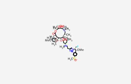 CC[C@H]1OC(=O)[C@H](C)[C@@H](C2C[C@@](C)(OC)C[C@H](C)O2)[C@H](C)[C@@H](O[C@H]2C[C@@H](N(C)CCc3cn([C@H](CF)[C@H](OC)c4ccc([S+](C)[O-])cc4)nn3)C[C@@H](C)O2)[C@](C)(O)C[C@@H](C)CN(C)[C@H](C)[C@@H](O)[C@]1(C)O